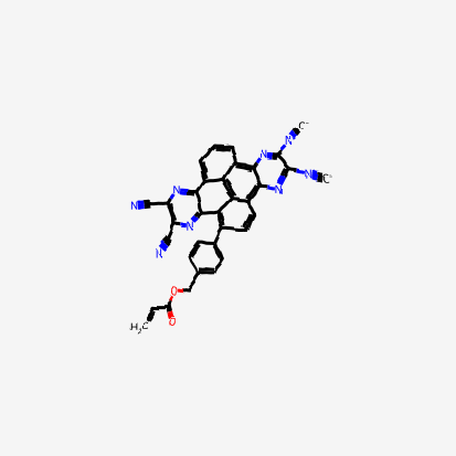 [C-]#[N+]c1nc2c3cccc4c5nc(C#N)c(C#N)nc5c5c(-c6ccc(COC(=O)C=C)cc6)ccc(c2nc1[N+]#[C-])c5c34